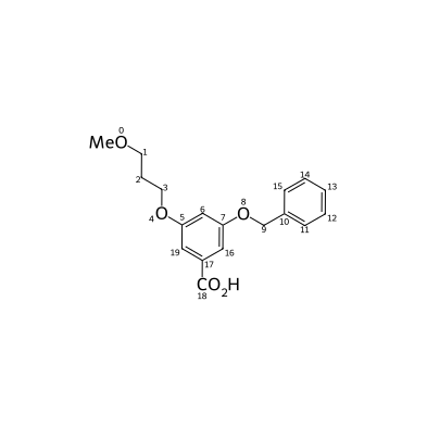 COCCCOc1cc(OCc2ccccc2)cc(C(=O)O)c1